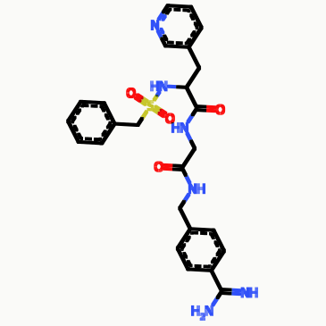 N=C(N)c1ccc(CNC(=O)CNC(=O)C(Cc2cccnc2)NS(=O)(=O)Cc2ccccc2)cc1